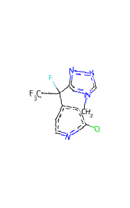 Cn1cnnc1C(F)(c1ccnc(Cl)c1)C(F)(F)F